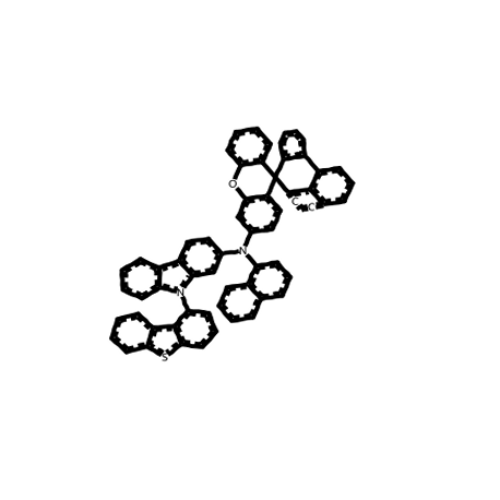 c1ccc2c(c1)Oc1cc(N(c3ccc4c5ccccc5n(-c5cccc6sc7ccccc7c56)c4c3)c3cccc4ccccc34)ccc1C21c2ccccc2-c2cccc3cccc1c23